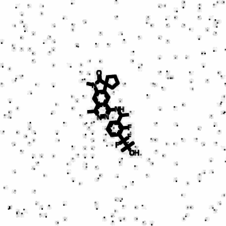 Cc1nnc(NC(C)c2cccc(C(F)(F)C(C)(C)O)c2F)c2cc3c(cc12)N(C)C(=O)C31CCCC1